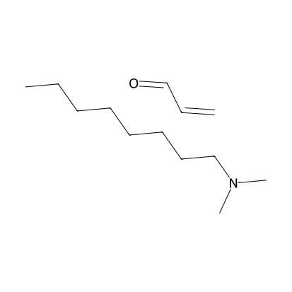 C=CC=O.CCCCCCCCN(C)C